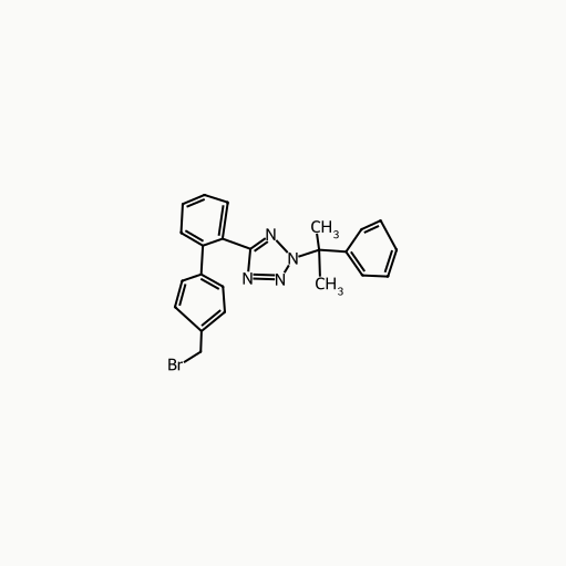 CC(C)(c1ccccc1)n1nnc(-c2ccccc2-c2ccc(CBr)cc2)n1